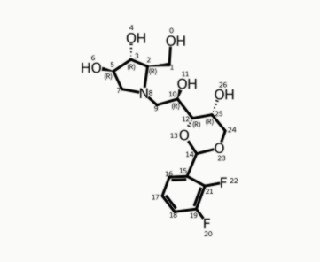 OC[C@@H]1[C@@H](O)[C@H](O)CN1C[C@@H](O)[C@H]1OC(c2cccc(F)c2F)OC[C@H]1O